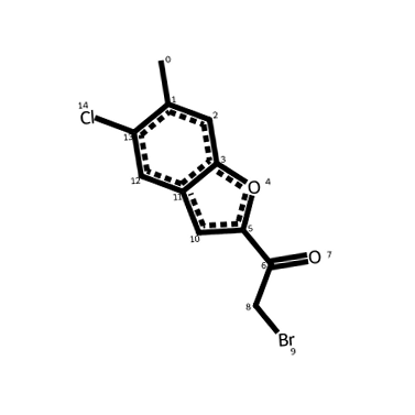 Cc1cc2oc(C(=O)CBr)cc2cc1Cl